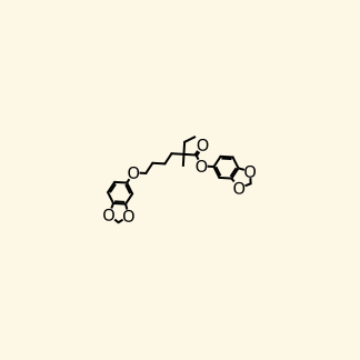 CCC(C)(CCCCOc1ccc2c(c1)OCO2)C(=O)Oc1ccc2c(c1)OCO2